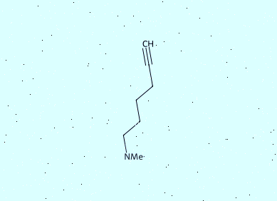 C#CCCCC[N]C